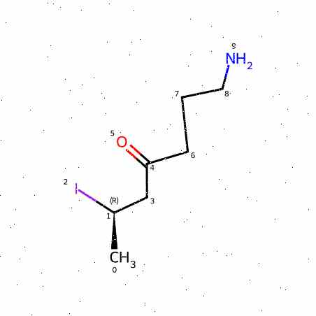 C[C@@H](I)CC(=O)CCCN